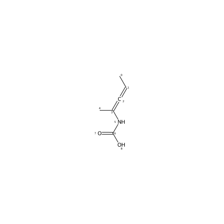 CC=C=C(C)NC(=O)O